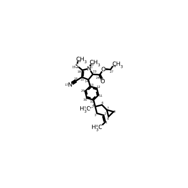 C/C=C\C[C@](C)(CC1CC1)c1ccc(C2C(C#N)=C(SC)N(C)C2C(=O)OCC)cc1